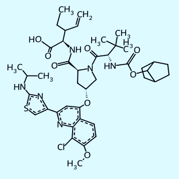 C=CC(CC)[C@@H](NC(=O)[C@@H]1C[C@@H](Oc2cc(-c3csc(NC(C)C)n3)nc3c(Cl)c(OC)ccc23)CN1C(=O)[C@@H](NC(=O)OC1C2CCC1CC2)C(C)(C)C)C(=O)O